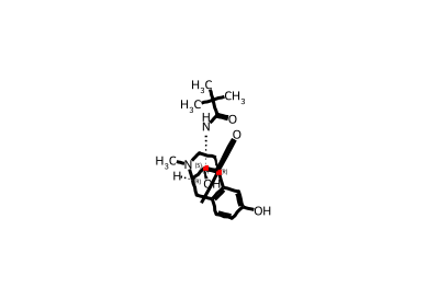 CN1CC[C@]23CC(=O)[C@@H](NC(=O)C(C)(C)C)C[C@@]2(O)[C@H]1Cc1ccc(O)cc13